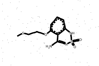 CSCCOc1cccc2c1C(N)=NS(=O)(=O)N2